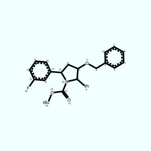 CC(C)C1C(OCc2ccccc2)CC(c2cccc(F)c2)N1C(=O)OC(C)(C)C